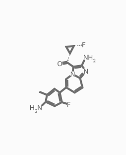 Cc1cc(-c2ccc3nc(N)c(C(=O)[C@@H]4C[C@@H]4F)n3c2)c(F)cc1N